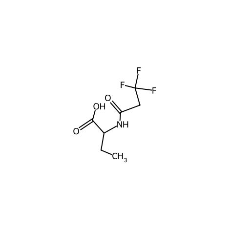 CCC(NC(=O)CC(F)(F)F)C(=O)O